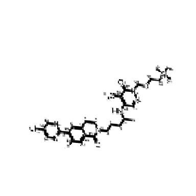 CC(CCCn1ccc2cc(-c3ncc(Cl)cn3)c(F)cc2c1=O)Nc1cnn(COCC[Si](C)(C)C)c(=O)c1C(F)(F)F